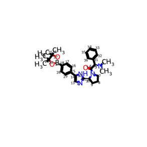 CN(C)[C@@H](C(=O)N1CCC[C@H]1c1ncc(-c2ccc(B3OC(C)(C)C(C)(C)O3)cc2)[nH]1)c1ccccc1